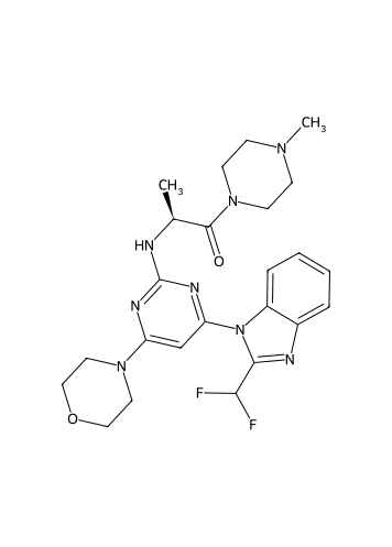 C[C@H](Nc1nc(N2CCOCC2)cc(-n2c(C(F)F)nc3ccccc32)n1)C(=O)N1CCN(C)CC1